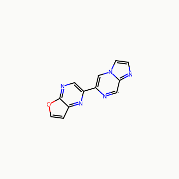 [c]1nc(-c2cnc3occc3n2)cn2ccnc12